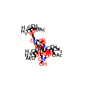 CC(=O)OCC1O[C@@H](OCCCC(=O)N(CCOC(C)C)CCOP(C)(=O)OCCN(CCOP(=O)(O)OCCN(CCO)C(=O)CCCO[C@@H]2OC(COC(C)=O)[C@H](C)[C@H](C)C2C)C(=O)CCCO[C@@H]2OC(COC(C)=O)[C@H](C)[C@H](C)C2C)C(C)[C@@H](C)[C@H]1C